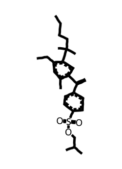 C=C(c1ccc(S(=O)(=O)OCC(C)C)cc1)c1cc(C(C)(C)CCCC)c(CC)cc1C